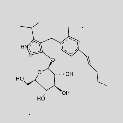 CCC/C=C/c1ccc(Cc2c(O[C@@H]3O[C@H](CO)[C@@H](O)[C@H](O)[C@H]3O)n[nH]c2C(C)C)c(C)c1